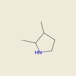 [CH2]C1NCCC1C